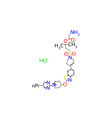 CCCc1cnc(N2CCC(Oc3nc4ccc(C5=CCN(S(=O)(=O)CCC(C)(C)OC(=O)CN)CC5)cc4s3)CC2)nc1.Cl